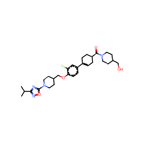 CC(C)c1noc(N2CCC(COc3ccc(C4=CCC(C(=O)N5CCC(CO)CC5)CC4)cc3F)CC2)n1